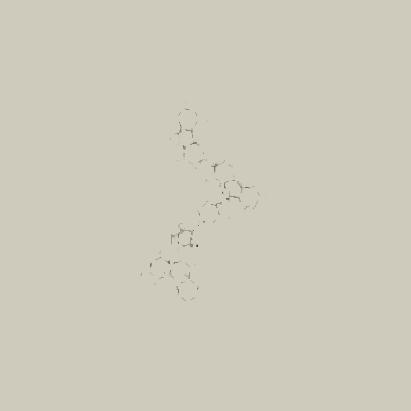 c1ccc2c(c1)cc(-c1nsc(-c3ccc(-n4c5ccccc5c5ccc(-c6ccc7oc8ccccc8c7c6)cc54)cc3)n1)c1ccccc12